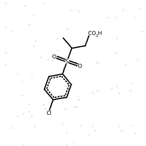 CC(CC(=O)O)S(=O)(=O)c1ccc(Cl)cc1